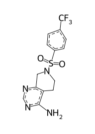 Nc1ncnc2c1CCN(S(=O)(=O)c1ccc(C(F)(F)F)cc1)C2